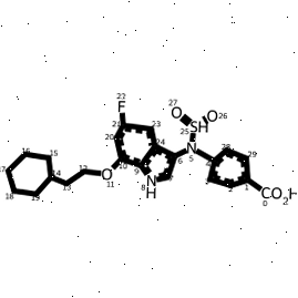 O=C(O)c1ccc(N(c2c[nH]c3c(OCCC4CCCCC4)cc(F)cc23)[SH](=O)=O)cc1